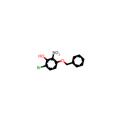 O=[N+]([O-])c1c(OCc2ccccc2)ccc(Br)c1O